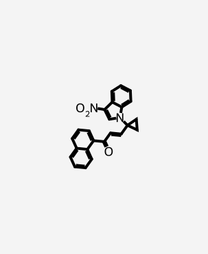 O=C(/C=C/C1(n2cc([N+](=O)[O-])c3ccccc32)CC1)c1cccc2ccccc12